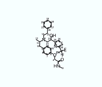 CNC(=O)COc1ccc(CC(C)N(CCc2ccccc2)CC(O)c2csc(C(F)(F)F)n2)cc1